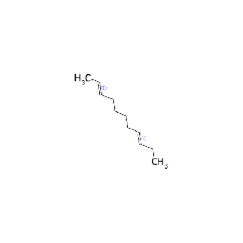 C/C=C/CCCC/C=C/CC